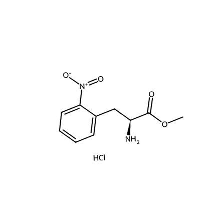 COC(=O)[C@@H](N)Cc1ccccc1[N+](=O)[O-].Cl